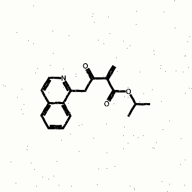 C=C(C(=O)Cc1nccc2ccccc12)C(=O)OC(C)C